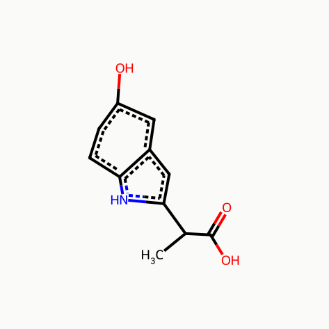 CC(C(=O)O)c1cc2cc(O)ccc2[nH]1